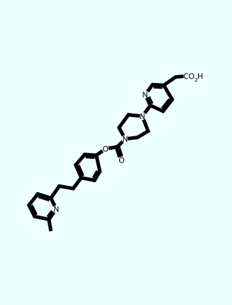 Cc1cccc(CCc2ccc(OC(=O)N3CCN(c4ccc(CC(=O)O)cn4)CC3)cc2)n1